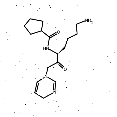 NCCCC[C@H](NC(=O)C1CCCC1)C(=O)CN1C=CCN=C1